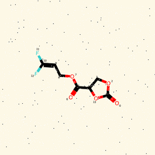 O=C1OCC(C(=O)OCC=C(F)F)O1